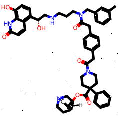 Cc1cccc(CN(CCCNC[C@H](O)c2ccc(O)c3[nH]c(=O)ccc23)C(=O)Cc2ccc(CC(=O)N3CCC(C(=O)O[C@H]4CN5CCC4CC5)(c4ccccc4)CC3)cc2)c1